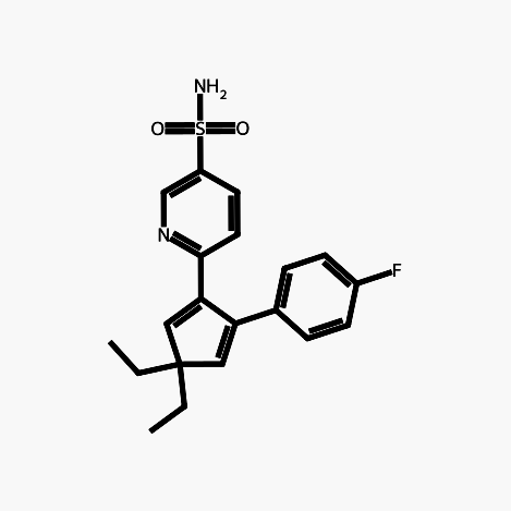 CCC1(CC)C=C(c2ccc(F)cc2)C(c2ccc(S(N)(=O)=O)cn2)=C1